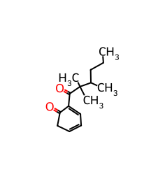 CCCC(C)C(C)(C)C(=O)C1=CC=CCC1=O